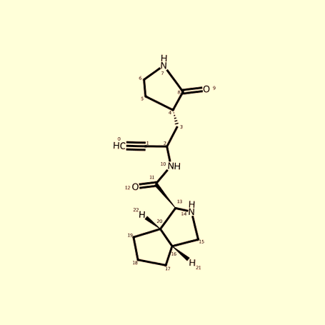 C#CC(C[C@@H]1CCNC1=O)NC(=O)[C@H]1NC[C@@H]2CCC[C@@H]21